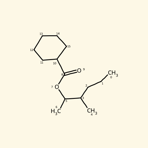 CCCC(C)C(C)OC(=O)C1CCCCC1